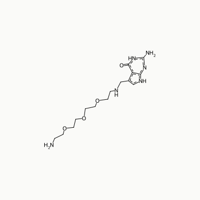 NCCOCCOCCOCCNCc1c[nH]c2nc(N)[nH]c(=O)c12